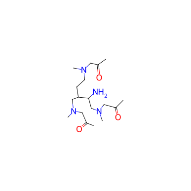 CC(=O)CN(C)CCC(CN(C)CC(C)=O)C(N)CN(C)CC(C)=O